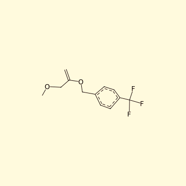 C=C(COC)OCc1ccc(C(F)(F)F)cc1